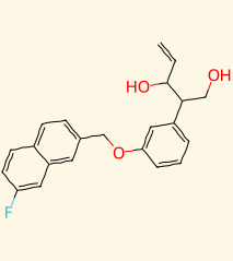 C=CC(O)C(CO)c1cccc(OCc2ccc3ccc(F)cc3c2)c1